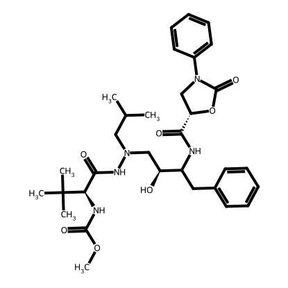 COC(=O)N[C@H](C(=O)NN(CC(C)C)C[C@H](O)C(Cc1ccccc1)NC(=O)[C@@H]1CN(c2ccccc2)C(=O)O1)C(C)(C)C